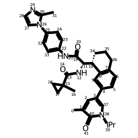 Cc1cc(-c2ccc3c(c2)[C@H]([C@H](NC(=O)C2(C)CC2)C(=O)Nc2ccc(-n4ccnc4C)cc2)CCC3)cn(C(C)C)c1=O